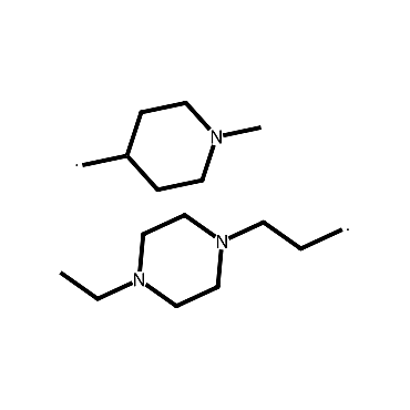 [CH2]C1CCN(C)CC1.[CH2]CCN1CCN(CC)CC1